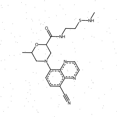 CNSCCNC(=O)C1CN(c2ccc(C#N)c3nccnc23)CC(C)O1